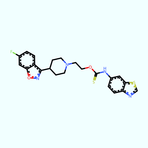 Fc1ccc2c(C3CCN(CCOC(=S)Nc4ccc5ncsc5c4)CC3)noc2c1